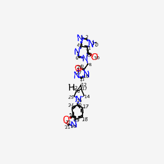 Cn1cnc2ncn(Cc3nc([C@@H]4C5CN(c6ccc7ncoc7c6)C[C@H]54)no3)c(=O)c21